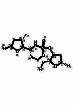 [2H]C[C@H]1O[C@@H]([3H])C[C@@H]1O[P@]1(=O)N[C@@H]([C@H]2O[C@@H]([3H])C[C@@H]2C)CCO1